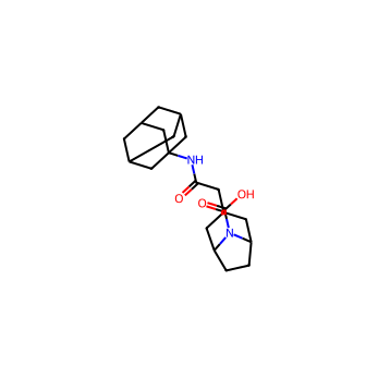 O=C(CC1CC2CCC(C1)N2C(=O)O)NC12CC3CC(CC(C3)C1)C2